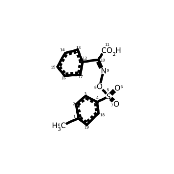 Cc1ccc(S(=O)(=O)ON=C(C(=O)O)c2ccccc2)cc1